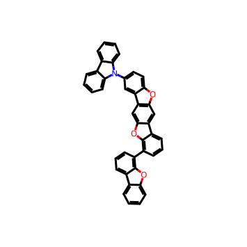 c1ccc2c(c1)oc1c(-c3cccc4c3oc3cc5c(cc34)oc3ccc(-n4c6ccccc6c6ccccc64)cc35)cccc12